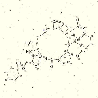 COC1/C=C/CC(C)C(C)S(=O)(NC(=O)COC2(C)CCOCC2)=NC(=O)c2ccc3c(c2)N(CC2CCC21)CC1(CCCc2cc(Cl)ccc21)CO3